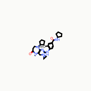 COc1cc(C(=O)NC2CCCC2)ccc1NC1=NC2=C(C[N+]13CC3)N(C)C(=O)CCN2C1CCCC1